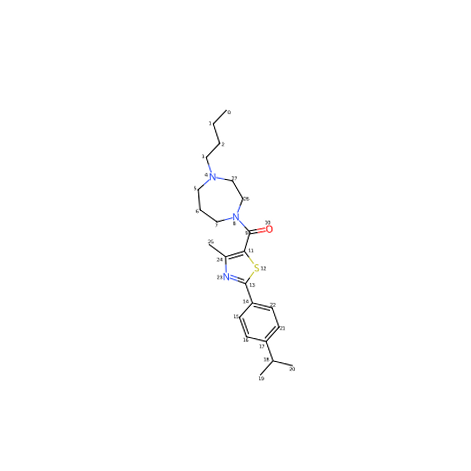 CCCCN1CCCN(C(=O)c2sc(-c3ccc(C(C)C)cc3)nc2C)CC1